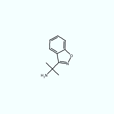 CC(C)(N)c1noc2ccccc12